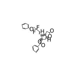 O=C1C[C@@H]2[C@@H](C=CC(F)(F)COc3ccccc3)[C@H](OC(=O)c3ccccc3)C[C@@H]2O1